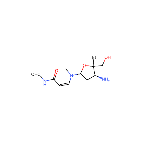 CC[C@]1(CO)OC(N(C)/C=C\C(=O)NC=O)C[C@@H]1N